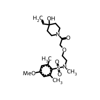 C=CC1(O)CCN(C(=O)COCCN(C)S(=O)(=O)c2c(C)cc(OC)cc2C)CC1